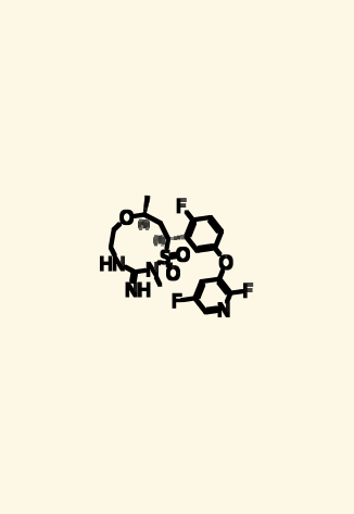 C[C@H]1C[C@H](c2cc(Oc3cc(F)cnc3F)ccc2F)S(=O)(=O)N(C)C(=N)NCCO1